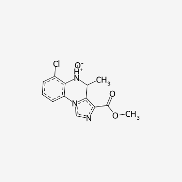 COC(=O)c1ncn2c1C(C)[NH+]([O-])c1c(Cl)cccc1-2